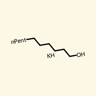 CCCCCCCCCCCO.[KH]